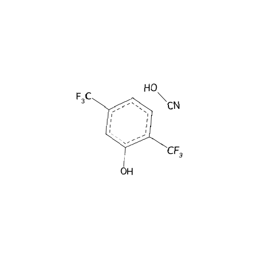 N#CO.Oc1cc(C(F)(F)F)ccc1C(F)(F)F